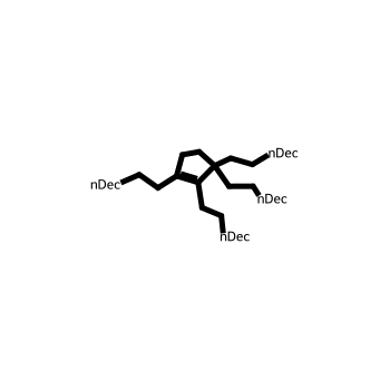 CCCCCCCCCCCCC1=C(CCCCCCCCCCCC)C(CCCCCCCCCCCC)(CCCCCCCCCCCC)CC1